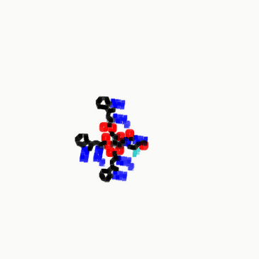 N[C@@H](Cc1c[nH]c2ccccc12)C(=O)OC[C@H]1O[C@@H](n2cc(F)c(=O)[nH]c2=O)[C@H](OC(=O)[C@@H](N)Cc2c[nH]c3ccccc23)[C@@H]1OC(=O)[C@@H](N)Cc1c[nH]c2ccccc12